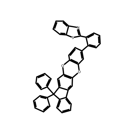 c1ccc(C2(c3ccccc3)c3ccccc3-c3cc4c(cc32)Oc2ccc(-c3ccccc3-c3nc5ccccc5s3)cc2O4)cc1